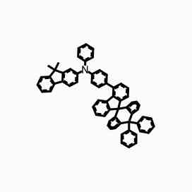 CC1(C)c2ccccc2-c2ccc(N(c3ccccc3)c3ccc(-c4cccc5c4-c4ccccc4C54c5ccccc5C(c5ccccc5)(c5ccccc5)c5ccccc54)cc3)cc21